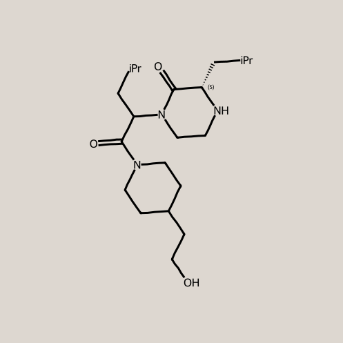 CC(C)CC(C(=O)N1CCC(CCO)CC1)N1CCN[C@@H](CC(C)C)C1=O